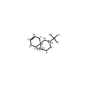 CC(C)(C)N1CCN[C@@]2(CC=CCC2)C1